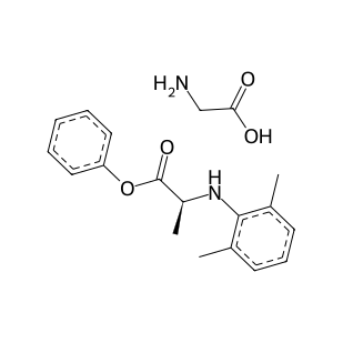 Cc1cccc(C)c1N[C@@H](C)C(=O)Oc1ccccc1.NCC(=O)O